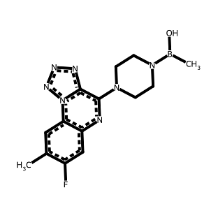 CB(O)N1CCN(c2nc3cc(F)c(C)cc3n3nnnc23)CC1